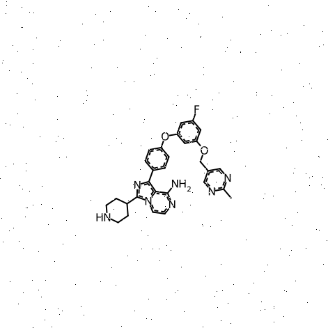 Cc1ncc(COc2cc(F)cc(Oc3ccc(-c4nc(C5CCNCC5)n5ccnc(N)c45)cc3)c2)cn1